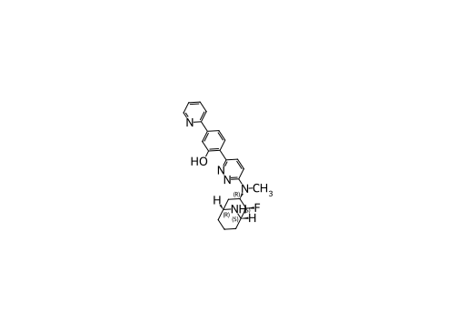 CN(c1ccc(-c2ccc(-c3ccccn3)cc2O)nn1)[C@@H]1C[C@H]2CCC[C@H](N2)[C@@H]1F